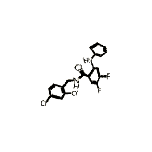 O=C(NCc1ccc(Cl)cc1Cl)c1cc(F)c(F)cc1Nc1ccccc1